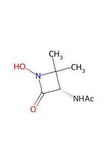 CC(=O)N[C@@H]1C(=O)N(O)C1(C)C